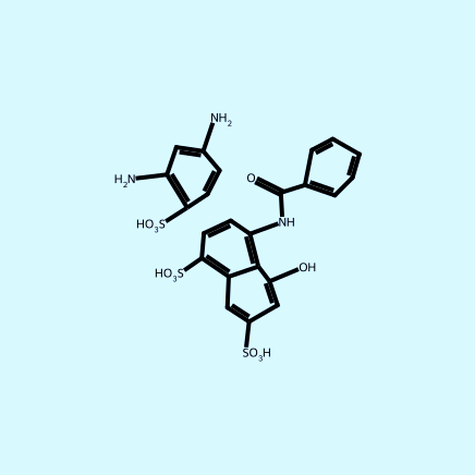 Nc1ccc(S(=O)(=O)O)c(N)c1.O=C(Nc1ccc(S(=O)(=O)O)c2cc(S(=O)(=O)O)cc(O)c12)c1ccccc1